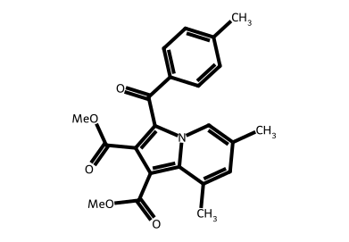 COC(=O)c1c(C(=O)OC)c2c(C)cc(C)cn2c1C(=O)c1ccc(C)cc1